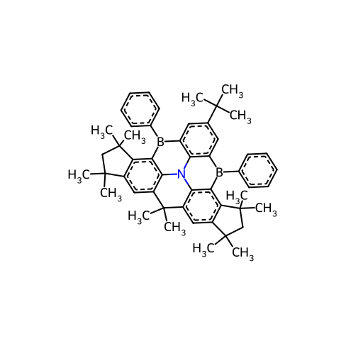 CC(C)(C)c1cc2c3c(c1)B(c1ccccc1)c1c4c(cc5c1C(C)(C)CC5(C)C)C(C)(C)c1cc5c(c(c1N34)B2c1ccccc1)C(C)(C)CC5(C)C